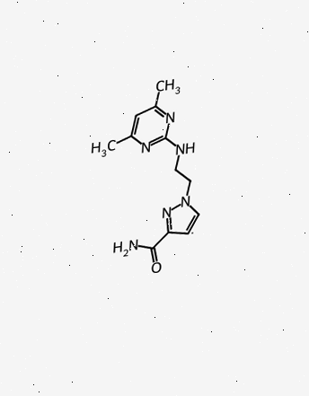 Cc1cc(C)nc(NCCn2c[c]c(C(N)=O)n2)n1